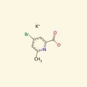 Cc1cc(Br)cc(C(=O)[O-])n1.[K+]